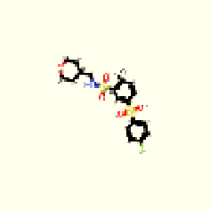 CC(C)c1ccc(S(=O)(=O)c2ccc(F)cc2)cc1S(=O)(=O)NCC1CCOCC1